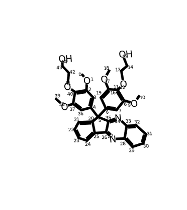 COc1cc(C2(c3cc(OC)c(OCCO)c(OC)c3)c3ccccc3-c3nc4ccccc4nc32)cc(OC)c1OCCO